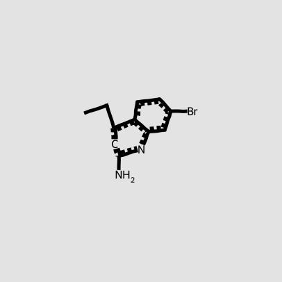 CCc1cc(N)nc2cc(Br)ccc12